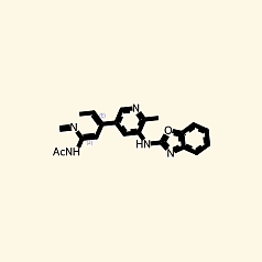 C=N/C(=C\C(=C/C)c1cnc(C)c(Nc2nc3ccccc3o2)c1)NC(C)=O